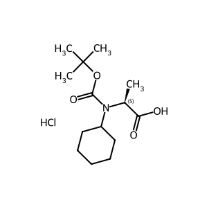 C[C@@H](C(=O)O)N(C(=O)OC(C)(C)C)C1CCCCC1.Cl